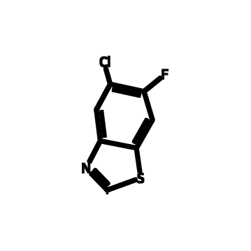 Fc1cc2s[c]nc2cc1Cl